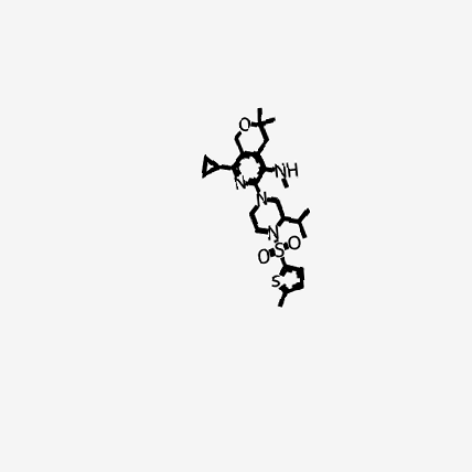 CNc1c(N2CCN(S(=O)(=O)c3ccc(C)s3)C(C(C)C)C2)nc(C2CC2)c2c1CC(C)(C)OC2